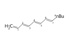 C=CC=CC=CC=CCCCC